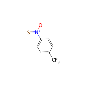 [O-][N+](=S)c1ccc(C(F)(F)F)cc1